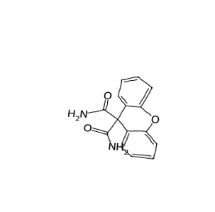 NC(=O)C1(C(N)=O)c2ccccc2Oc2ccccc21